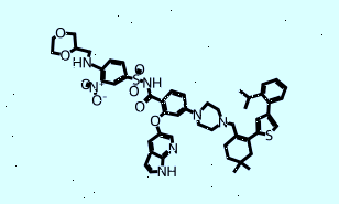 CC(C)c1ccccc1-c1csc(C2=C(CN3CCN(c4ccc(C(=O)NS(=O)(=O)c5ccc(NCC6COCCO6)c([N+](=O)[O-])c5)c(Oc5cnc6[nH]ccc6c5)c4)CC3)CCC(C)(C)C2)c1